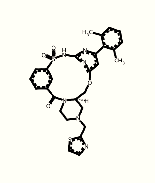 Cc1cccc(C)c1-c1cc2nc(n1)NS(=O)(=O)c1cccc(c1)C(=O)N1CCN(Cc3nccs3)C[C@@H]1CO2